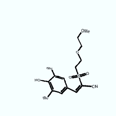 COCCOCCS(=O)(=O)/C(C#N)=C\c1cc(C(C)(C)C)c(O)c(C(C)(C)C)c1